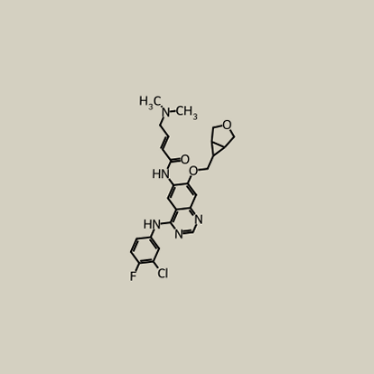 CN(C)CC=CC(=O)Nc1cc2c(Nc3ccc(F)c(Cl)c3)ncnc2cc1OCC1C2COCC21